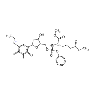 C/C=C/c1cn(C2CC(O)C(COP(=O)(N[C@@H](CCCC(=O)OC)C(=O)OC)Oc3ccccc3)O2)c(=O)[nH]c1=O